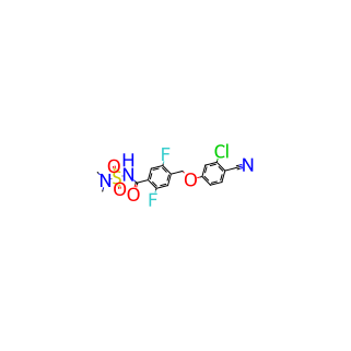 CN(C)S(=O)(=O)NC(=O)c1cc(F)c(COc2ccc(C#N)c(Cl)c2)cc1F